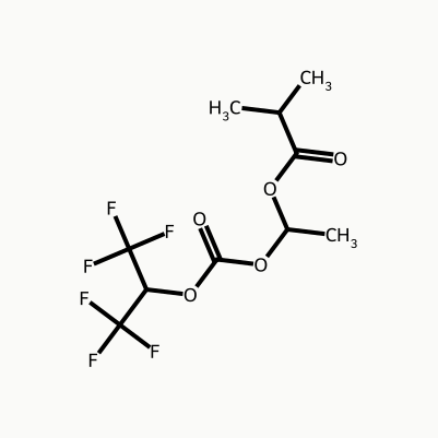 CC(OC(=O)OC(C(F)(F)F)C(F)(F)F)OC(=O)C(C)C